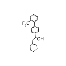 O[C@@H](CC1CCCCC1)c1ccc(-c2ccccc2C(F)(F)F)cc1